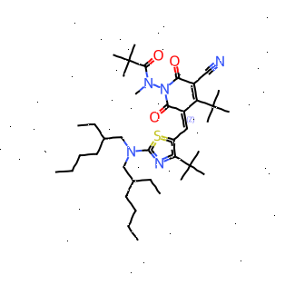 CCCCC(CC)CN(CC(CC)CCCC)c1nc(C(C)(C)C)c(/C=C2\C(=O)N(N(C)C(=O)C(C)(C)C)C(=O)C(C#N)=C2C(C)(C)C)s1